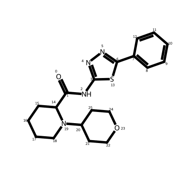 O=C(Nc1nnc(-c2ccccc2)s1)C1CCCCN1C1CCOCC1